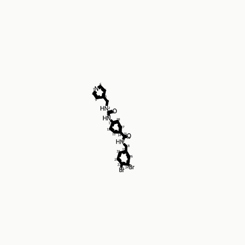 O=C(NCc1ccncc1)Nc1ccc(C(=O)NCc2ccc(Br)c(Br)c2)cc1